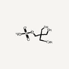 O=S(=O)(O)OCC(CO)(CO)CO